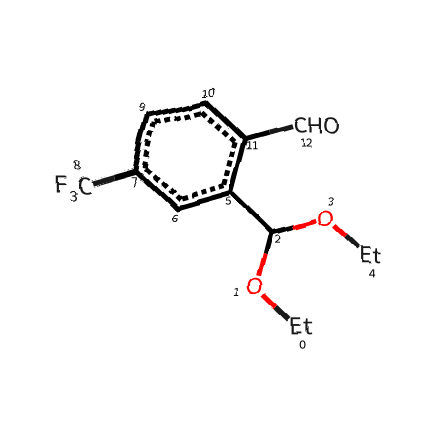 CCOC(OCC)c1cc(C(F)(F)F)ccc1C=O